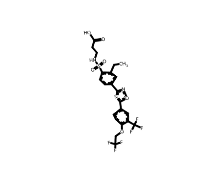 CCc1cc(-c2noc(-c3ccc(OCC(F)(F)F)c(C(F)(F)F)c3)n2)ccc1S(=O)(=O)NCCC(=O)O